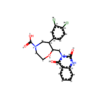 O=C(O)N1CCOC(Cn2c(=O)[nH]c3ccccc3c2=O)C(c2ccc(Cl)c(Cl)c2)C1